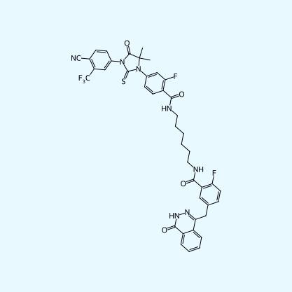 CC1(C)C(=O)N(c2ccc(C#N)c(C(F)(F)F)c2)C(=S)N1c1ccc(C(=O)NCCCCCCNC(=O)c2cc(Cc3n[nH]c(=O)c4ccccc34)ccc2F)c(F)c1